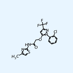 Cc1csc(NC(=O)COc2cc(C(F)(F)F)nn2-c2ccccc2Cl)n1